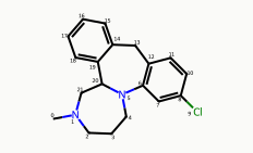 CN1CCCN2c3cc(Cl)ccc3Cc3ccccc3C2C1